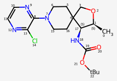 C[C@@H]1OCC2(CCN(c3nccnc3Cl)CC2)[C@@H]1NC(=O)OC(C)(C)C